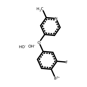 [B+2]c1ccc(Oc2ccnc(C)c2)cc1F.[OH-].[OH-]